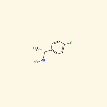 CCCN[C@H](C)c1ccc(F)cc1